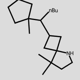 CCCCC(C1CC2(C1)NCCC2(C)C)C1(C)CCCC1